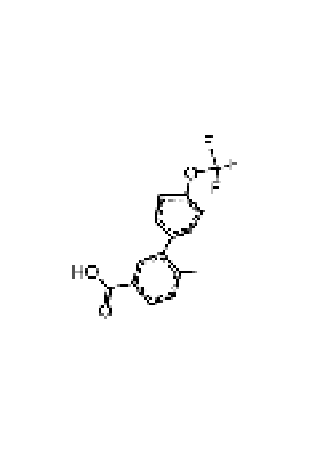 Cc1ccc(C(=O)O)cc1-c1ccc(OC(F)(F)F)cc1